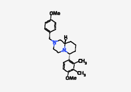 COc1ccc(CN2CCN3[C@@H](CCC[C@@H]3c3ccc(OC)c(C)c3C)C2)cc1